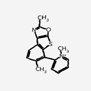 Cc1nc2c(o1)sc1c(-c3cccc[n+]3C)c(C)ccc12